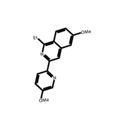 CCc1nc(-c2ccc(OC)cn2)cc2cc(OC)ccc12